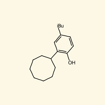 CCC(C)c1ccc(O)c(C2CCCCCCC2)c1